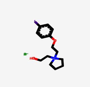 OCC[N+]1(CCOc2ccc(I)cc2)CCCC1.[Br-]